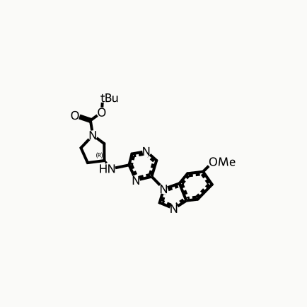 COc1ccc2ncn(-c3cncc(N[C@@H]4CCN(C(=O)OC(C)(C)C)C4)n3)c2c1